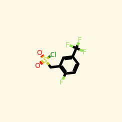 O=S(=O)(Cl)Cc1cc(C(F)(F)F)ccc1F